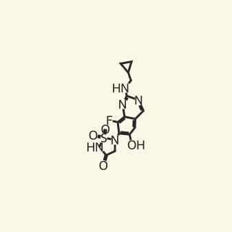 O=C1CN(c2c(O)cc3cnc(NCC4CC4)nc3c2F)S(=O)(=O)N1